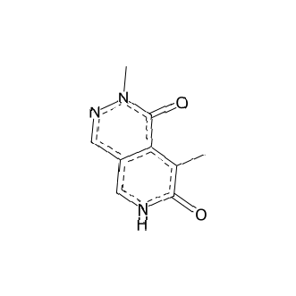 Cc1c(=O)[nH]cc2cnn(C)c(=O)c12